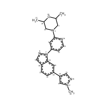 CC1CN(c2cc(-n3ncc4ccc(-c5cnn(C)c5)cc43)ccn2)CC(C)O1